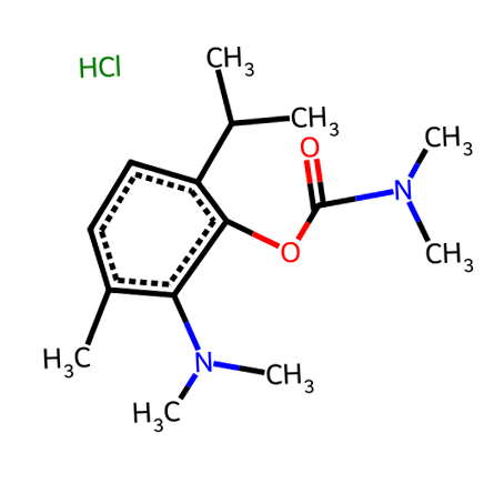 Cc1ccc(C(C)C)c(OC(=O)N(C)C)c1N(C)C.Cl